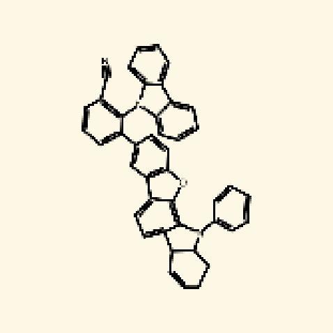 N#Cc1cccc(-c2ccc3oc4c5c(ccc4c3c2)C2C=CCCC2N5c2ccccc2)c1-n1c2ccccc2c2ccccc21